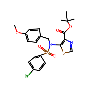 COc1ccc(CN(c2scnc2C(=O)OC(C)(C)C)S(=O)(=O)c2ccc(Br)cc2)cc1